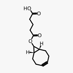 O=C(O)CCCC(=O)OC1[C@H]2CCC#CCC[C@@H]12